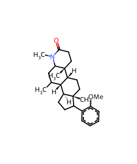 COc1ccccc1C1CC[C@H]2[C@@H]3C(C)CC4N(C)C(=O)CC[C@]4(C)[C@@H]3CC[C@]12C